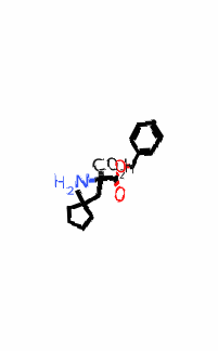 CC1(CC(N)(C(=O)O)C(=O)OCc2ccccc2)CCCC1